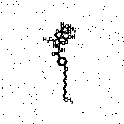 CCCCCCCCOc1ccc(C(=O)NNC(=O)[C@]2(NC)COC(NC)(NC)N2C(=O)O)cc1